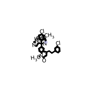 CN(C)/C=N\C(c1ccc(Cl)cc1)(c1ccc2c(c1)c(CCc1cccc(Cl)c1)cc(=O)n2C)c1cncn1C